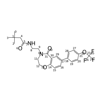 CC(C)(C)CC(=O)NCCN1CCOc2ccc(-c3ccc(OC(F)(F)F)cc3)cc2C1=O